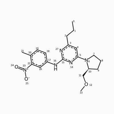 CCCc1cc(N2CCC[C@H]2COC)nc(Nc2ccc(C)c([N+](=O)[O-])c2)n1